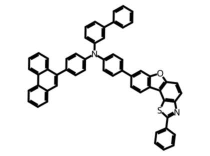 c1ccc(-c2cccc(N(c3ccc(-c4ccc5c(c4)oc4ccc6nc(-c7ccccc7)sc6c45)cc3)c3ccc(-c4cc5ccccc5c5ccccc45)cc3)c2)cc1